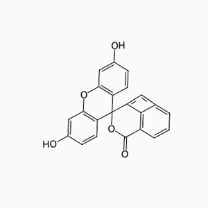 O=C1OC2(c3ccc(O)cc3Oc3cc(O)ccc32)c2cccc3cccc1c23